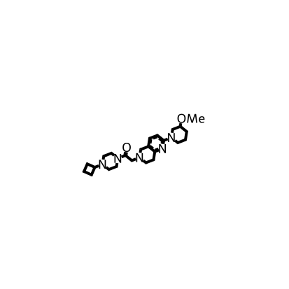 COC1CCCN(c2ccc3c(n2)CCN(CC(=O)N2CCN(C4CCC4)CC2)C3)C1